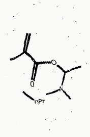 C=C(C)C(=O)OC(C)N(C)C.CCCC